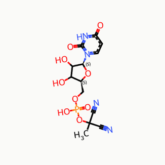 CC(C#N)(C#N)OP(=O)(O)OC[C@@H]1O[C@H](n2ccc(=O)[nH]c2=O)C(O)C1O